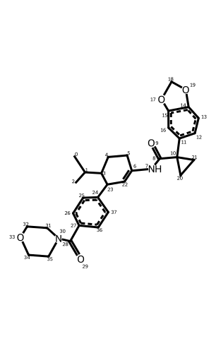 CC(C)C1CCC(NC(=O)C2(c3ccc4c(c3)OCO4)CC2)=CC1c1ccc(C(=O)N2CCOCC2)cc1